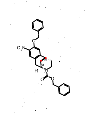 O=C(OCc1ccccc1)N1CC[C@@]23CCCCC2[C@@H]1Cc1cc([N+](=O)[O-])c(OCc2ccccc2)cc13